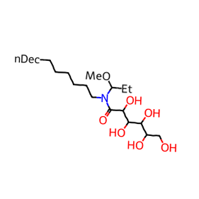 CCCCCCCCCCCCCCCCN(C(=O)C(O)C(O)C(O)C(O)CO)C(CC)OC